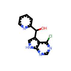 OC(c1ccccn1)c1c[nH]c2ncnc(Cl)c12